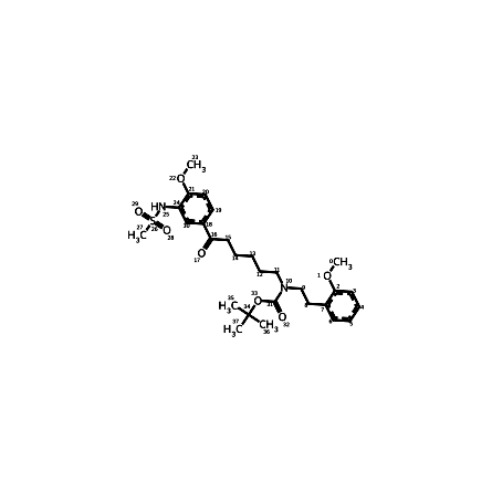 COc1ccccc1CCN(CCCCCC(=O)c1ccc(OC)c(NS(C)(=O)=O)c1)C(=O)OC(C)(C)C